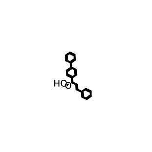 OOC(/C=C/c1ccccc1)c1ccc(-c2ccccc2)cc1